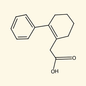 O=C(O)CC1=C(c2ccccc2)CCCC1